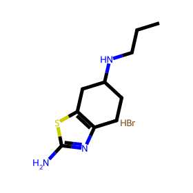 Br.CCCNC1CCc2nc(N)sc2C1